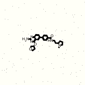 CN1CCCC1CCNC(=O)c1ccc(-c2ccc3nc(N)nc(OC4CCOC4)c3c2)cc1